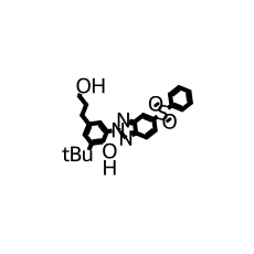 CC(C)(C)c1cc(CCCO)cc(-n2nc3ccc(S(=O)(=O)c4ccccc4)cc3n2)c1O